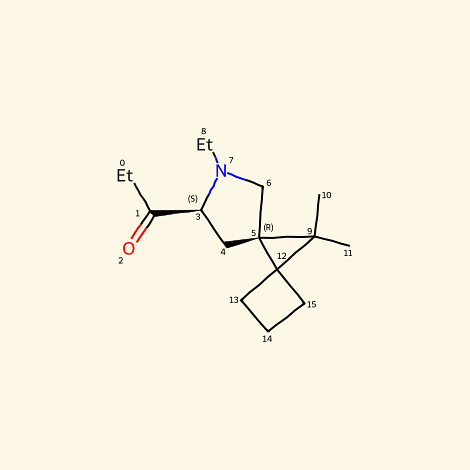 CCC(=O)[C@@H]1C[C@@]2(CN1CC)C(C)(C)C21CCC1